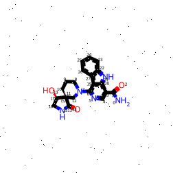 NC(=O)c1cnc(N2CCC[C@@]3(C2)C(=O)NC[C@H]3O)c2c1[nH]c1ccccc12